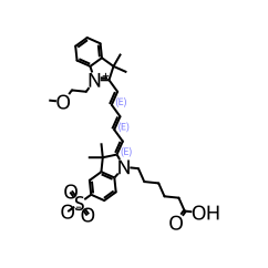 COCC[N+]1=C(/C=C/C=C/C=C2/N(CCCCCC(=O)O)c3ccc(S(=O)(=O)[O-])cc3C2(C)C)C(C)(C)c2ccccc21